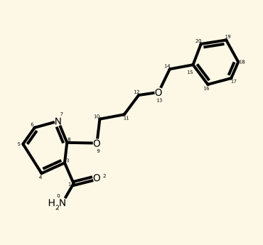 NC(=O)c1cccnc1OCCCOCc1ccccc1